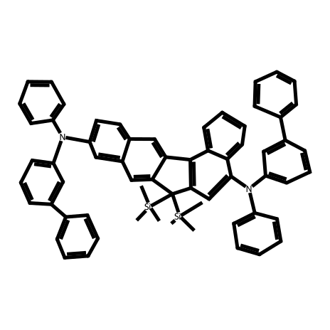 C[Si](C)(C)C1([Si](C)(C)C)c2cc3cc(N(c4ccccc4)c4cccc(-c5ccccc5)c4)ccc3cc2-c2c1cc(N(c1ccccc1)c1cccc(-c3ccccc3)c1)c1ccccc21